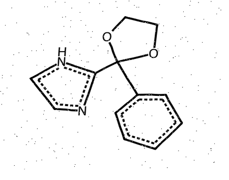 c1ccc(C2(c3ncc[nH]3)OCCO2)cc1